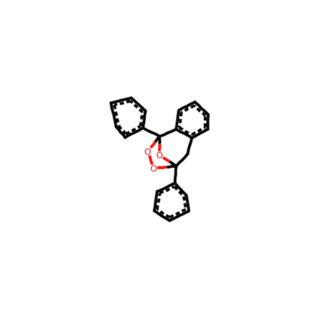 c1ccc(C23Cc4ccccc4C(c4ccccc4)(OO2)O3)cc1